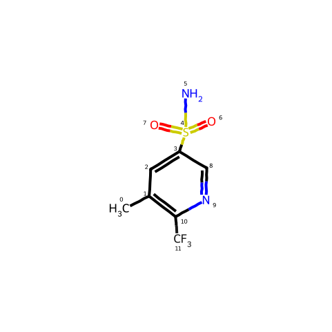 Cc1cc(S(N)(=O)=O)cnc1C(F)(F)F